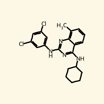 Cc1cccc2c(NC3CCCCC3)nc(Nc3cc(Cl)cc(Cl)c3)nc12